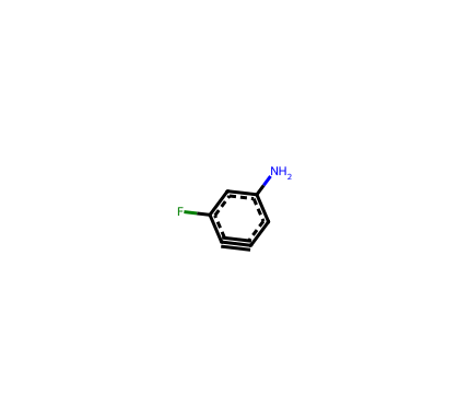 Nc1cc#cc(F)c1